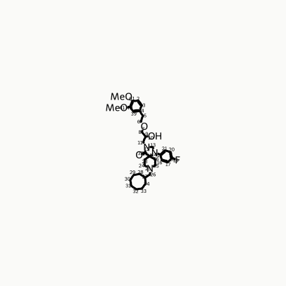 COc1ccc(CCOCC(O)CN2CN(c3ccc(F)cc3)C3(CCN(CC4CCCCCCC4)CC3)C2=O)cc1OC